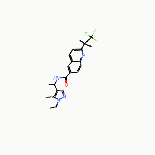 CCn1ncc(C(C)NC(=O)c2ccc3nc(C(C)(C)C(F)(F)F)ccc3c2)c1C